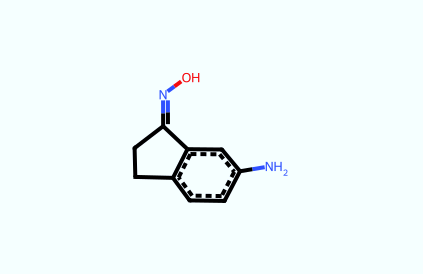 Nc1ccc2c(c1)/C(=N\O)CC2